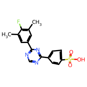 Cc1cc(-c2ncnc(-c3ccc(S(=O)(=O)O)cc3)n2)cc(C)c1F